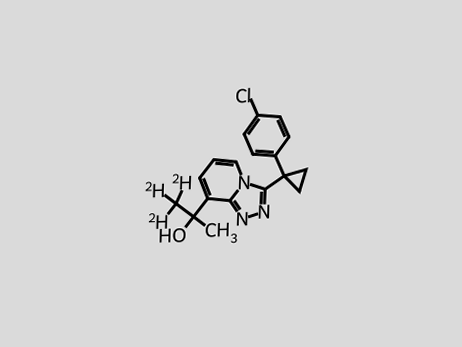 [2H]C([2H])([2H])C(C)(O)c1cccn2c(C3(c4ccc(Cl)cc4)CC3)nnc12